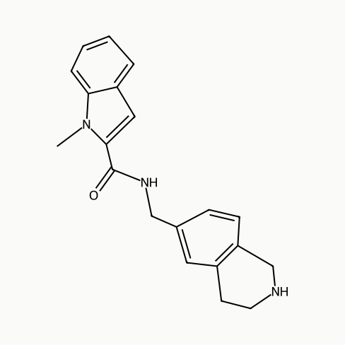 Cn1c(C(=O)NCc2ccc3c(c2)CCNC3)cc2ccccc21